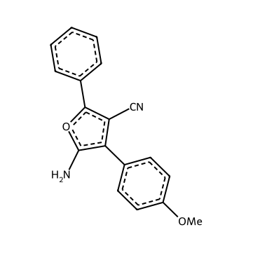 COc1ccc(-c2c(N)oc(-c3ccccc3)c2C#N)cc1